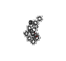 c1ccc(-c2ccc3c(c2)Oc2cc(-c4ccccc4)ccc2C32c3ccccc3-c3ccc(N(c4ccccc4)c4ccc5c(c4)C(c4ccccc4)(c4ccccc4)c4ccccc4-5)cc32)cc1